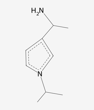 CC(N)c1ccn(C(C)C)c1